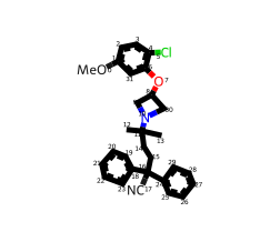 COc1ccc(Cl)c(OC2CN(C(C)(C)CCC(C#N)(c3ccccc3)c3ccccc3)C2)c1